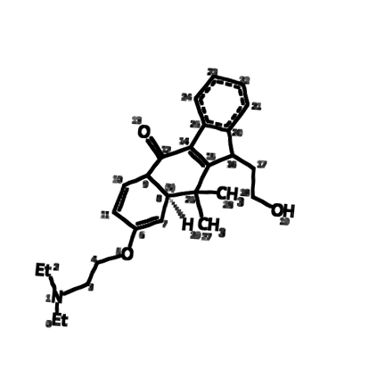 CCN(CC)CCOC1=C[C@H]2C(C=C1)C(=O)C1=C(C(CCO)c3ccccc31)C2(C)C